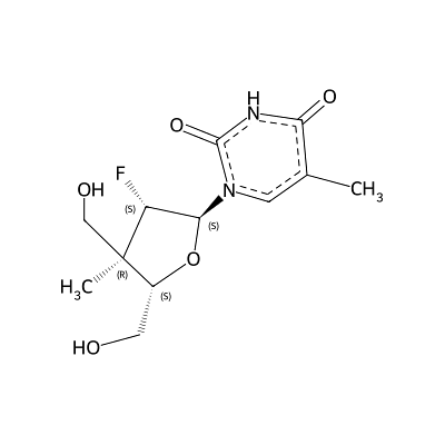 Cc1cn([C@H]2O[C@H](CO)[C@@](C)(CO)[C@@H]2F)c(=O)[nH]c1=O